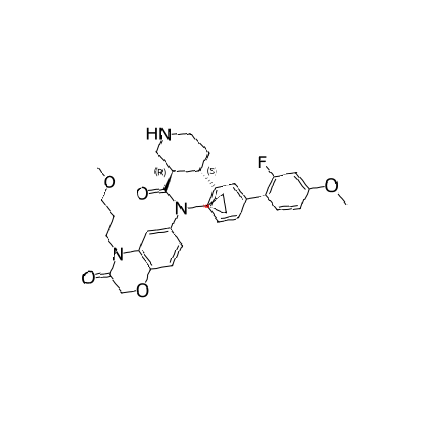 COCCCN1C(=O)COc2ccc(N(C(=O)[C@H]3CNCC[C@@H]3c3cccc(-c4ccc(OC)cc4F)c3)C3CC3)cc21